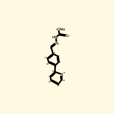 COC(=O)N/N=C/c1ccc(-c2ccccn2)cc1